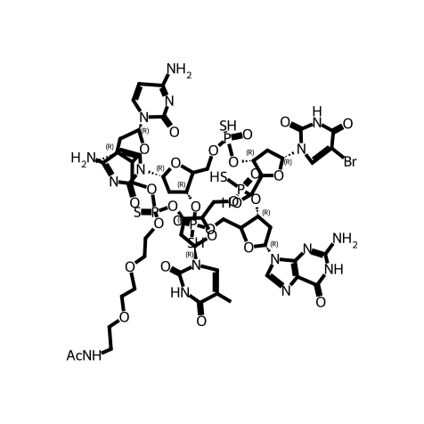 CC(=O)NCCOCCOCCOP(=S)(OCC1O[C@@H](n2ccc(N)nc2=O)C[C@H]1C)O[C@@H]1C[C@H](n2cc(C)c(=O)[nH]c2=O)OC1COP(=O)(S)O[C@@H]1C[C@H](n2cnc3c(=O)[nH]c(N)nc32)OC1COP(=O)(S)O[C@@H]1C[C@H](n2ccc(N)nc2=O)OC1COP(=O)(S)O[C@@H]1C[C@H](n2cc(Br)c(=O)[nH]c2=O)OC1CO